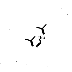 C=C(C)C.C=C(C)C.C=CC(C)(C)C